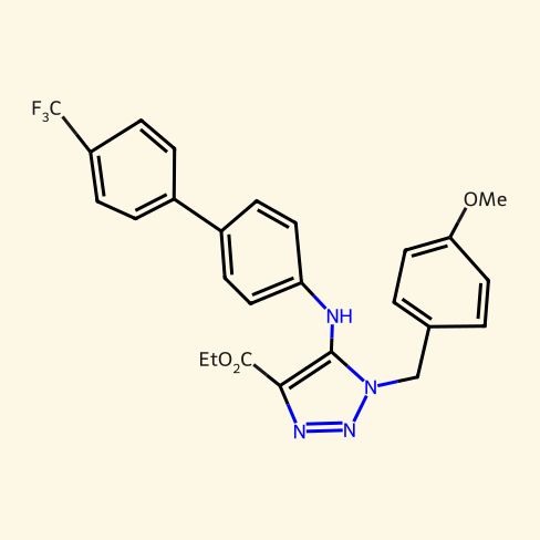 CCOC(=O)c1nnn(Cc2ccc(OC)cc2)c1Nc1ccc(-c2ccc(C(F)(F)F)cc2)cc1